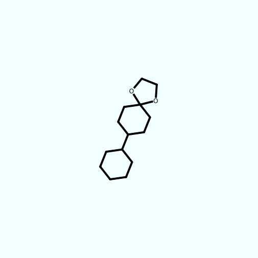 C1CCC(C2CCC3(CC2)OCCO3)CC1